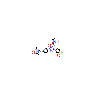 COc1cc(-c2nn(-c3ccc(CCN4C(C)COCC4C)cc3)c(=O)n2CC(=O)NC(C)C)ccc1F